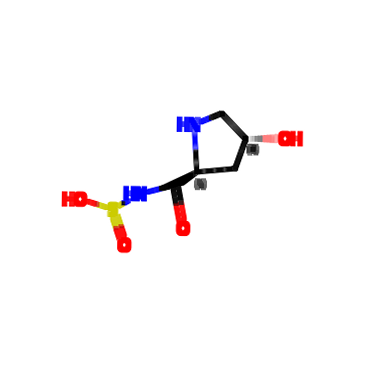 O=C(NS(=O)O)[C@@H]1C[C@@H](O)CN1